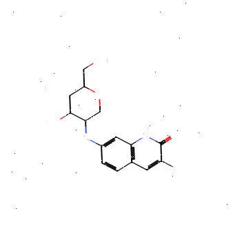 O=c1[nH]c2cc(NC3COC(CO)[C@@H](O)C3O)ccc2cc1C(F)(F)F